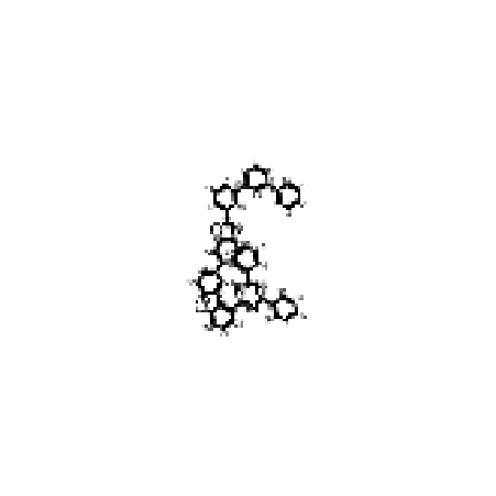 c1ccc(-c2cccc(-c3cccc(-c4nc5ccc(-c6ccc7oc8cccc(-c9nc(-c%10ccccc%10)nc(-c%10ccccc%10)n9)c8c7c6)cc5o4)c3)c2)cc1